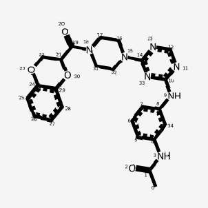 CC(=O)Nc1cccc(Nc2ncnc(N3CCN(C(=O)C4COc5ccccc5O4)CC3)n2)c1